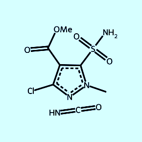 COC(=O)c1c(Cl)nn(C)c1S(N)(=O)=O.N=C=O